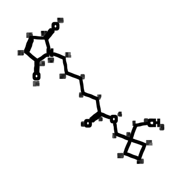 CCC1(COC(=O)CCCCCN2C(=O)C=CC2=O)CCC1